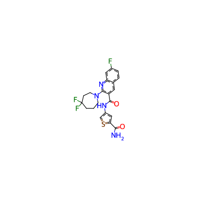 NC(=O)c1cc(NC(=O)c2cc3ccc(F)cc3nc2N2CCCC(F)(F)CC2)cs1